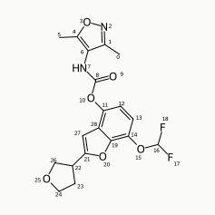 Cc1noc(C)c1NC(=O)Oc1ccc(OC(F)F)c2oc(C3CCOC3)cc12